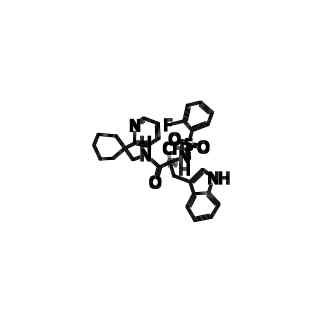 C[C@@](Cc1c[nH]c2ccccc12)(NS(=O)(=O)c1ccccc1F)C(=O)NCC1(c2ccccn2)CCCCC1